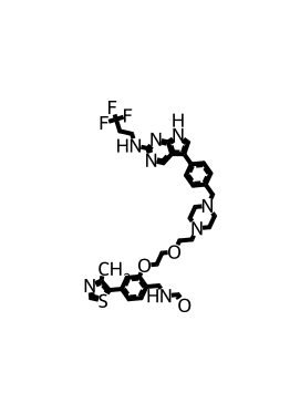 Cc1ncsc1-c1ccc(CNC=O)c(OCCOCCN2CCN(Cc3ccc(-c4c[nH]c5nc(NCCC(F)(F)F)ncc45)cc3)CC2)c1